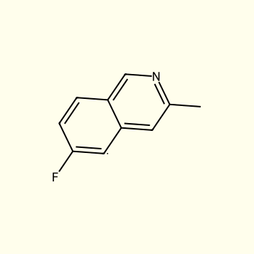 Cc1cc2[c]c(F)ccc2cn1